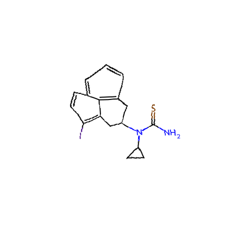 NC(=S)N(C1CC1)C1Cc2cccc3ccc(I)c(c23)C1